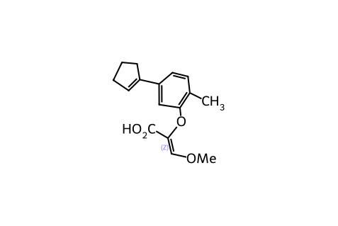 CO/C=C(\Oc1cc(C2=CCCC2)ccc1C)C(=O)O